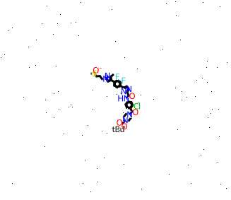 Cc1nn(CCC[S+](C)[O-])cc1-c1ccc(-c2cnc(C(=O)Nc3ccc(C(=O)N4CCN(C(=O)OC(C)(C)C)CC4)c(Cl)c3)n2C)c(F)c1F